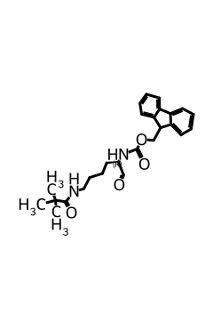 CC(C)(C)C(=O)NCCCC[C@H](C=O)NC(=O)OCC1c2ccccc2-c2ccccc21